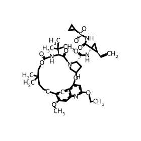 C=C[C@@H]1C[C@]1(NC(=O)[C@@H]1C[C@@H]2CN1C(=O)[C@H](C(C)(C)C)NC(=O)OCC(C)(C)CCCc1cc3c(cc(OCC)nc3cc1OC)O2)C(=O)NS(=O)(=O)C1CC1